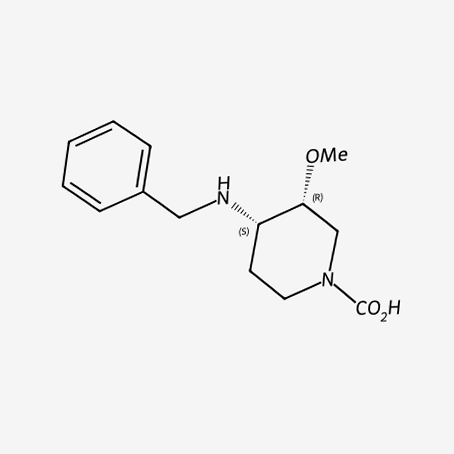 CO[C@@H]1CN(C(=O)O)CC[C@@H]1NCc1ccccc1